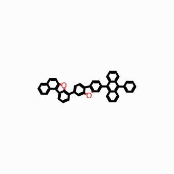 c1ccc(-c2c3ccccc3c(-c3ccc4c(c3)oc3cc(-c5cccc6c5oc5ccc7ccccc7c56)ccc34)c3ccccc23)cc1